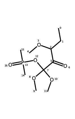 CCC(OC)C(=O)C(OC)(OC)OP(C)(C)=O